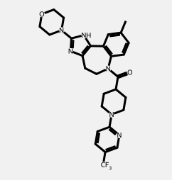 Cc1ccc2c(c1)-c1[nH]c(N3CCOCC3)nc1CCN2C(=O)C1CCN(c2ccc(C(F)(F)F)cn2)CC1